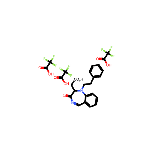 O=C(O)C(F)(F)F.O=C(O)C(F)(F)F.O=C(O)C(F)(F)F.O=C(O)CC1C(=O)N=Cc2ccccc2N1CCc1ccccc1